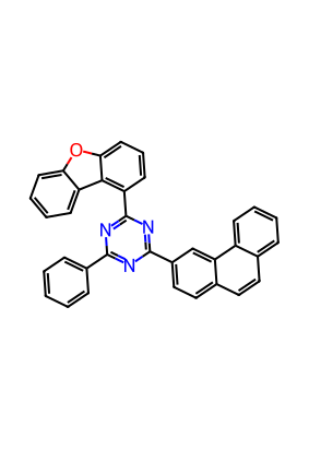 c1ccc(-c2nc(-c3ccc4ccc5ccccc5c4c3)nc(-c3cccc4oc5ccccc5c34)n2)cc1